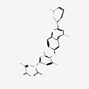 Cc1cc(C2CCCC(C)C2)nc2ccc(Oc3c(Cl)cc(N4N=C(C#N)C(O)NC4O)cc3Cl)cc12